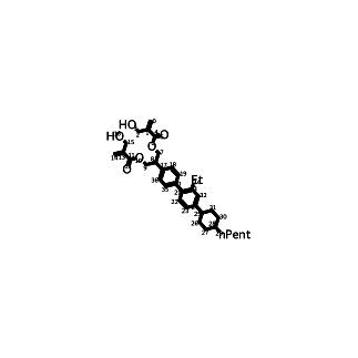 C=C(CO)C(=O)OCC(COC(=O)C(=C)CO)c1ccc(-c2ccc(C3CCC(CCCCC)CC3)cc2CC)cc1